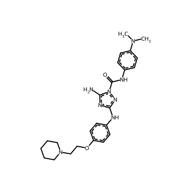 CN(C)c1ccc(NC(=O)n2nc(Nc3ccc(OCCN4CCCCC4)cc3)nc2N)cc1